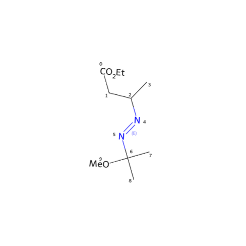 CCOC(=O)CC(C)/N=N/C(C)(C)OC